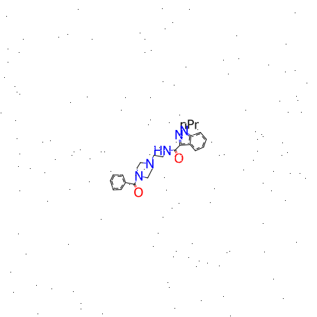 CCCn1nc(C(=O)NCCN2CCN(C(=O)c3ccccc3)CC2)c2ccccc21